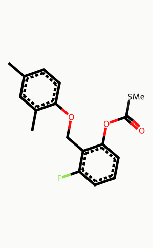 CSC(=O)Oc1cccc(F)c1COc1ccc(C)cc1C